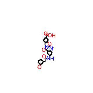 COc1cccc(CC(=O)Nc2ccc3c(c2)c(=O)n(Cc2ccc(C(=O)O)cc2)c(=O)n3C)c1